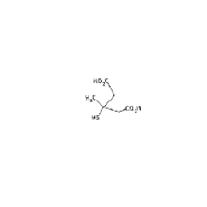 CC(S)(CC(=O)O)CC(=O)O